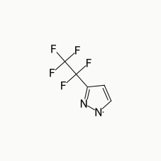 FC(F)(F)C(F)(F)C1=N[N]C=C1